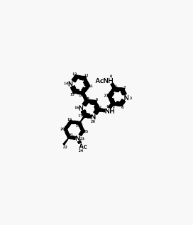 CC(=O)Nc1cncc(Nc2cc(-c3cccnc3)nc([C@@H]3CC[C@H](C)N(C(C)=O)C3)n2)c1